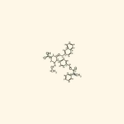 COCC1CN(C(=O)O)CC(OCc2ccc3ccccc3c2)C1c1ccc(COC(=O)N(C)c2ccccc2)cc1